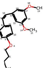 CCCCOc1ccc(/C=C\c2cc(OC)cc(OC)c2)cc1